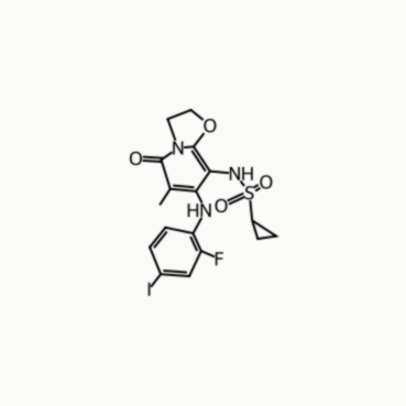 Cc1c(Nc2ccc(I)cc2F)c(NS(=O)(=O)C2CC2)c2n(c1=O)CCO2